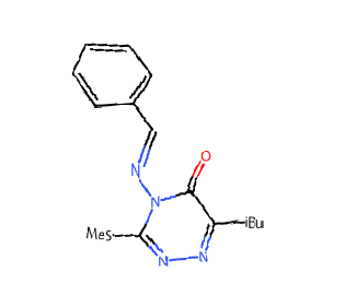 CCC(C)c1nnc(SC)n(N=Cc2ccccc2)c1=O